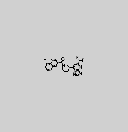 O=C(c1cnc2c(F)cccc2c1)N1CCCC(c2cc(C(F)F)nc3ncnn23)C1